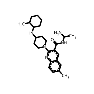 Cc1ccc2nc(N3CCC(NC4CCCCC4C)CC3)c(C(=O)NC(C)N)cc2c1